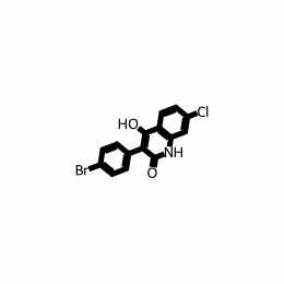 O=c1[nH]c2cc(Cl)ccc2c(O)c1-c1ccc(Br)cc1